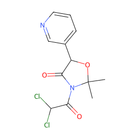 CC1(C)OC(c2cccnc2)C(=O)N1C(=O)C(Cl)Cl